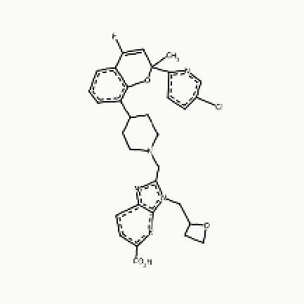 CC1(c2ccc(Cl)cn2)C=C(F)c2cccc(C3CCN(Cc4nc5ccc(C(=O)O)nc5n4CC4CCO4)CC3)c2O1